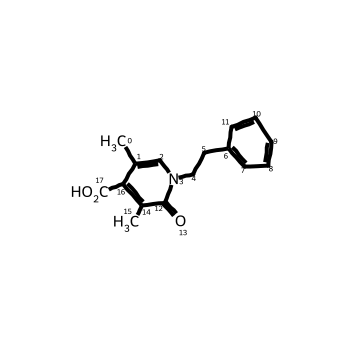 Cc1cn(CCc2ccccc2)c(=O)c(C)c1C(=O)O